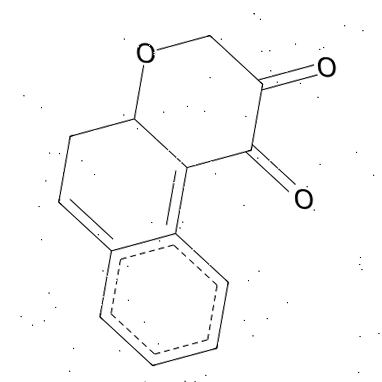 O=C1COC2CC=c3ccccc3=C2C1=O